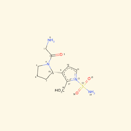 NCC(=O)N1CCC[C@H]1c1ccn(S(N)(=O)=O)c1C(=O)O